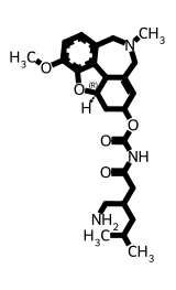 COc1ccc2c3c1O[C@@H]1CC(OC(=O)NC(=O)CC(CN)CC(C)C)C=C(CN(C)C2)C31